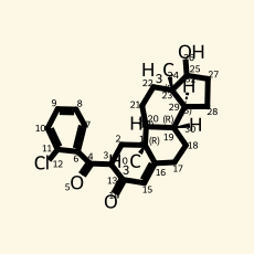 C[C@]12CC(C(=O)c3ccccc3Cl)C(=O)C=C1CC[C@@H]1[C@H]2CC[C@]2(C)C(O)CC[C@@H]12